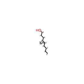 CCCCCCCCCO.[KH]